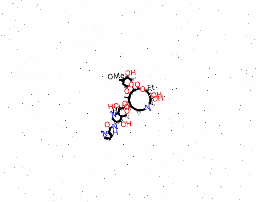 CC[C@H]1OC(=O)[C@H](C)[C@@H](O[C@H]2C[C@@](C)(OC)[C@@H](O)[C@H](C)O2)[C@H](C)[C@@H](O[C@@H]2O[C@H](C)C3[C@H](O)[C@@H](NC(=O)c4cccn4C)CN(C)[C@@H]3[C@H]2O)[C@](C)(O)C[C@@H](C)CN(C)[C@H](C)[C@@H](O)[C@]1(C)O